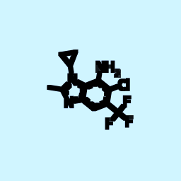 Cc1nc2cc(C(F)(F)F)c(Cl)c(N)c2n1C1CC1